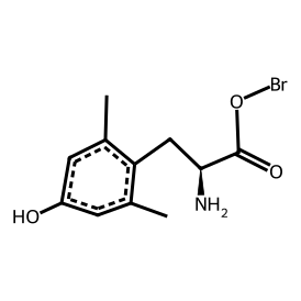 Cc1cc(O)cc(C)c1C[C@H](N)C(=O)OBr